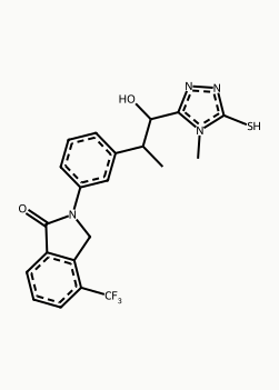 CC(c1cccc(N2Cc3c(cccc3C(F)(F)F)C2=O)c1)C(O)c1nnc(S)n1C